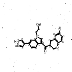 O=C(c1cn(CCO)c2cc(-c3cn[nH]c3)ccc12)C1COc2ccc(Cl)cc2C1